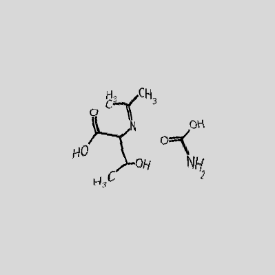 CC(C)=NC(C(=O)O)C(C)O.NC(=O)O